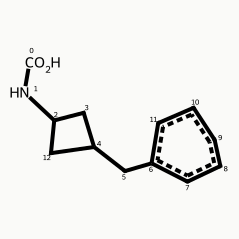 O=C(O)NC1CC(Cc2ccccc2)C1